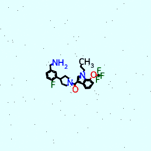 CCCn1cc(C(=O)N2CCC(c3cc(CN)ccc3F)CC2)c2cccc(OC(F)(F)F)c21